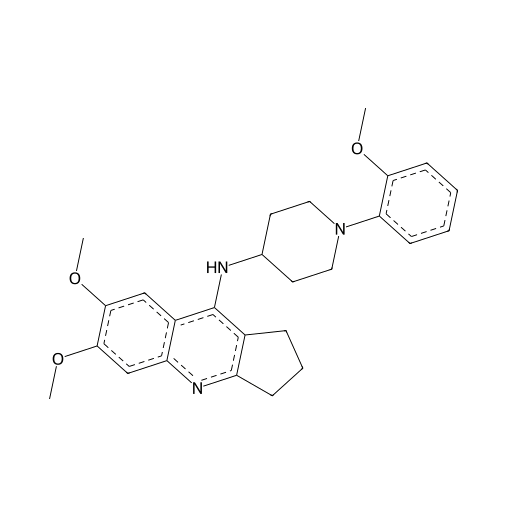 COc1cc2nc3c(c(NC4CCN(c5ccccc5OC)CC4)c2cc1OC)CCC3